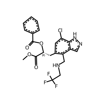 COC(=O)[C@@H](Cc1cc(Cl)c2[nH]ncc2c1CNCC(F)(F)F)OC(=O)c1ccccc1